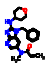 C=CC(=O)N(C)c1cnc2nc(NC3CCOCC3)n(Cc3ccccc3)c2c1